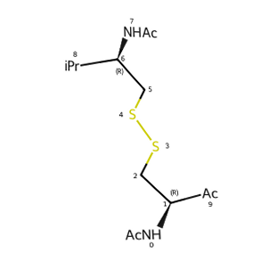 CC(=O)N[C@@H](CSSC[C@H](NC(C)=O)C(C)C)C(C)=O